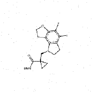 CNC(=O)C1(C[C@@H]2CCc3c(F)c(F)c4c(c32)CCO4)CC1